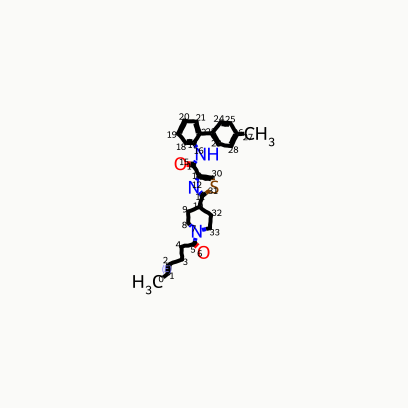 C/C=C/CCC(=O)N1CCC(c2nc(C(=O)Nc3ccccc3-c3ccc(C)cc3)cs2)CC1